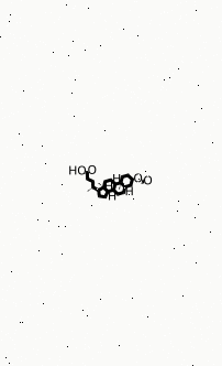 C[C@H](CCC(=O)O)C1CC[C@H]2[C@@H]3CC[C@@H]4C[C@H](OC=O)CC[C@]4(C)[C@H]3CC[C@]12C